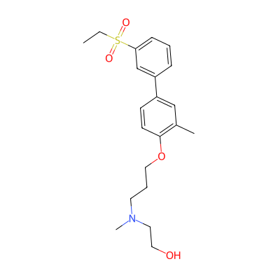 CCS(=O)(=O)c1cccc(-c2ccc(OCCCN(C)CCO)c(C)c2)c1